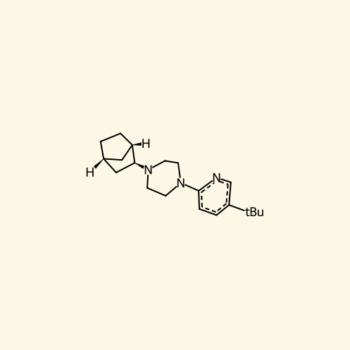 CC(C)(C)c1ccc(N2CCN([C@H]3C[C@@H]4CC[C@H]3C4)CC2)nc1